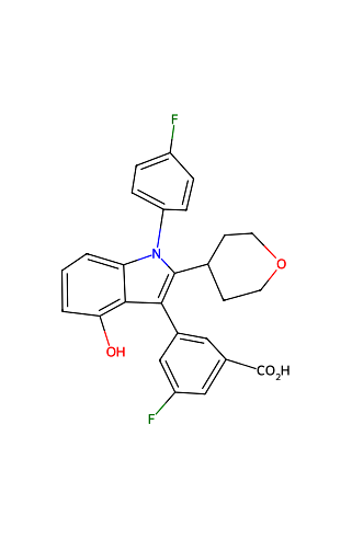 O=C(O)c1cc(F)cc(-c2c(C3CCOCC3)n(-c3ccc(F)cc3)c3cccc(O)c23)c1